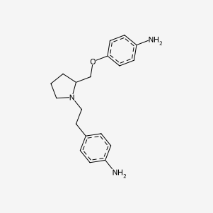 Nc1ccc(CCN2CCCC2COc2ccc(N)cc2)cc1